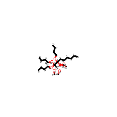 CCCCCCC(OCCCC)(OOC)C(OCCCC)(OCCCC)[Si](OC)(OC)OC